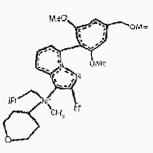 CCc1nn2c(-c3c(OC)cc(COC)cc3OC)cccc2c1[N+](C)(CC(C)C)C1CCOCC1